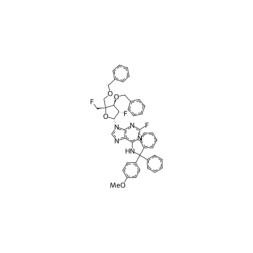 COc1ccc(C(Nc2nc(F)nc3c2ncn3[C@@H]2O[C@](CF)(COCc3ccccc3)[C@@H](OCc3ccccc3)[C@@H]2F)(c2ccccc2)c2ccccc2)cc1